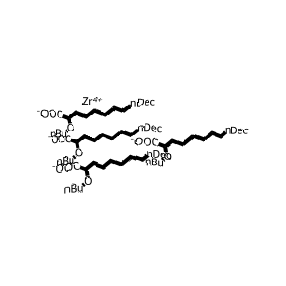 CCCCCCCCCCCCCCCCC(OCCCC)C(=O)[O-].CCCCCCCCCCCCCCCCC(OCCCC)C(=O)[O-].CCCCCCCCCCCCCCCCC(OCCCC)C(=O)[O-].CCCCCCCCCCCCCCCCC(OCCCC)C(=O)[O-].[Zr+4]